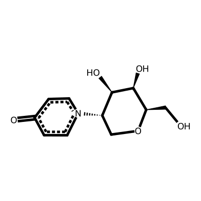 O=c1ccn([C@H]2CO[C@H](CO)[C@H](O)[C@@H]2O)cc1